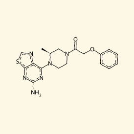 C[C@H]1CN(C(=O)COc2ccccc2)CCN1c1nc(N)nc2scnc12